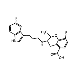 CC1Oc2c(F)ccc(C(=O)O)c2CC1NCCCc1c[nH]c2ccc(F)cc12